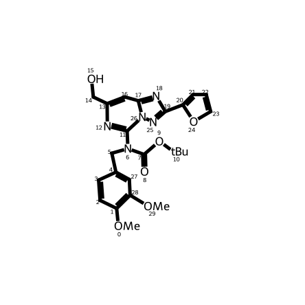 COc1ccc(CN(C(=O)OC(C)(C)C)c2nc(CO)cc3nc(-c4ccco4)nn23)cc1OC